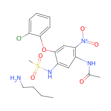 CC(=O)Nc1cc(NS(C)(=O)=O)c(Oc2ccccc2Cl)cc1[N+](=O)[O-].CCCCN